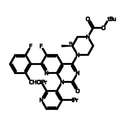 CC(C)c1ccnc(C(C)C)c1-n1c(=O)nc(N2CCN(C(=O)OC(C)(C)C)C[C@@H]2C)c2cc(F)c(-c3c(F)cccc3C=O)nc21